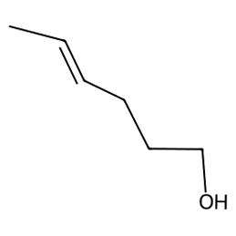 C/C=C/CCCO